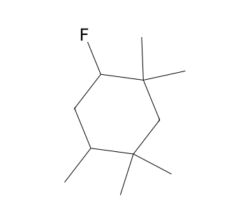 CC1CC(F)C(C)(C)CC1(C)C